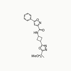 CO[C@H](C)c1nnc(C2CC(NC(=O)c3cc(-c4ccccc4)on3)C2)o1